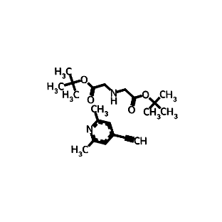 C#Cc1cc(C)nc(C)c1.CC(C)(C)OC(=O)CNCC(=O)OC(C)(C)C